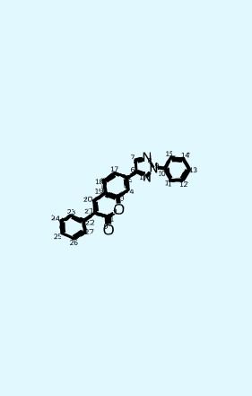 O=c1oc2cc(-c3cnn(-c4ccccc4)n3)ccc2cc1-c1ccccc1